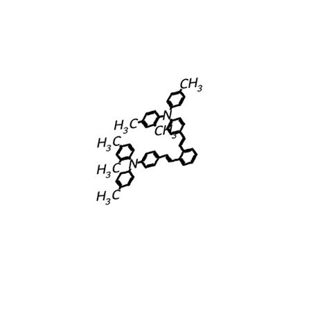 CC1=CCC(N(c2ccc(C=Cc3ccccc3C=Cc3ccc(N(c4ccc(C)cc4)c4ccc(C)cc4C)cc3)cc2)c2ccc(C)cc2C)C=C1